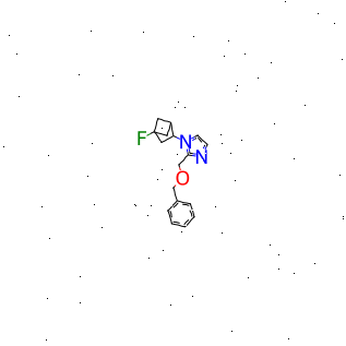 FC12CC(C1)C(n1ccnc1COCc1ccccc1)C2